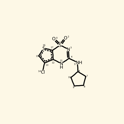 O=S1(=O)N=C(NC2CCCC2)Nc2c(Cl)csc21